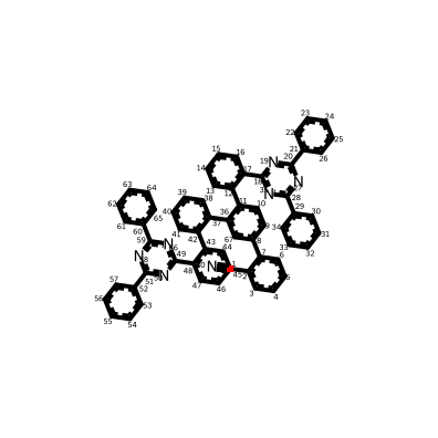 N#Cc1ccccc1-c1ccc(-c2ccccc2-c2nc(-c3ccccc3)nc(-c3ccccc3)n2)c(-c2ccccc2-c2ccccc2-c2nc(-c3ccccc3)nc(-c3ccccc3)n2)c1